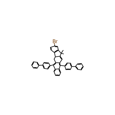 CC1(C)C2=Cc3c(c(-c4ccc(-c5ccccc5)cc4)c4ccccc4c3-c3ccc(-c4ccccc4)cc3)CC2c2ccc(Br)cc21